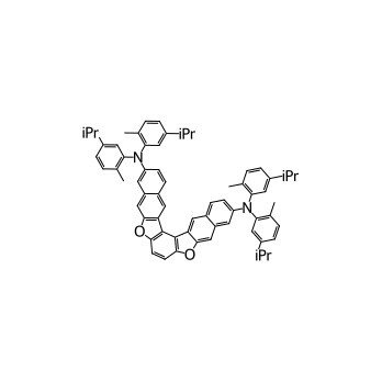 Cc1ccc(C(C)C)cc1N(c1ccc2cc3c(cc2c1)oc1ccc2oc4cc5cc(N(c6cc(C(C)C)ccc6C)c6cc(C(C)C)ccc6C)ccc5cc4c2c13)c1cc(C(C)C)ccc1C